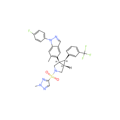 Cc1cc2c(cnn2-c2ccc(F)cc2)cc1[C@]12CN(S(=O)(=O)c3cnn(C)n3)C[C@H]1[C@@H]2c1cccc(C(F)(F)F)c1